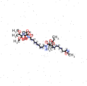 CCC(=O)OC(\C(C)=C/C=C\C=C\Cc1cnc(C)o1)C(C)(C)C(=O)NC\C=C/C=C/C=C/C=C/C(=O)N(O)C1(C(=O)N(C)C(C(=O)OC)C(C)OC)COCO1